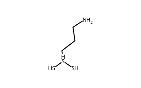 NCCC[SH](S)S